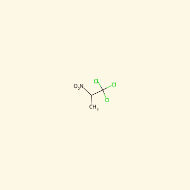 CC([N+](=O)[O-])C(Cl)(Cl)Cl